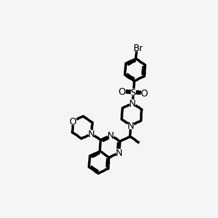 CC(c1nc(N2CCOCC2)c2ccccc2n1)N1CCN(S(=O)(=O)c2ccc(Br)cc2)CC1